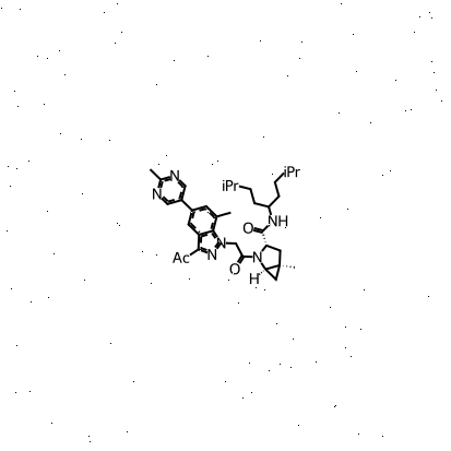 CC(=O)c1nn(CC(=O)N2[C@H](C(=O)NC(CCC(C)C)CCC(C)C)C[C@@]3(C)C[C@@H]23)c2c(C)cc(-c3cnc(C)nc3)cc12